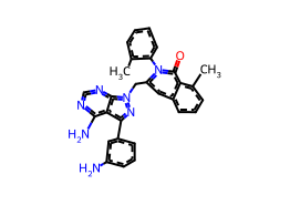 Cc1ccccc1-n1c(Cn2nc(-c3cccc(N)c3)c3c(N)ncnc32)cc2cccc(C)c2c1=O